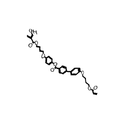 C=CC(=O)OCCCCOc1ccc(-c2ccc(C(=O)Oc3ccc(OCCCCOC(=O)C(=C)CO)cc3)cc2)cc1